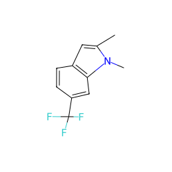 Cc1cc2ccc(C(F)(F)F)cc2n1C